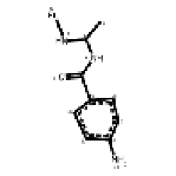 CCNC(C)NC(=O)c1ccc(N)cc1